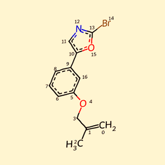 C=C(C)COc1cccc(-c2cnc(Br)o2)c1